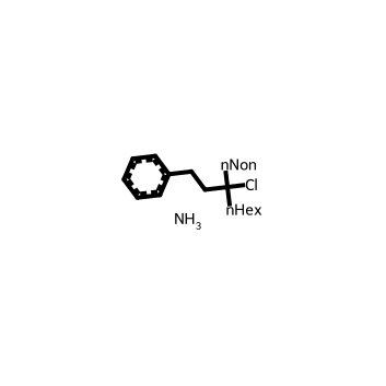 CCCCCCCCCC(Cl)(CCCCCC)CCc1ccccc1.N